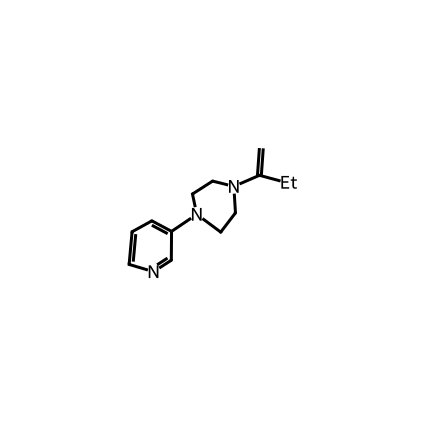 C=C(CC)N1CCN(c2cccnc2)CC1